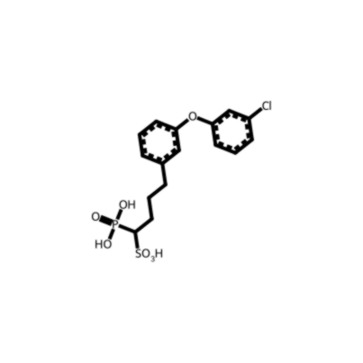 O=P(O)(O)C(CCCc1cccc(Oc2cccc(Cl)c2)c1)S(=O)(=O)O